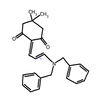 CC1(C)CC(=O)C(=C/C=C/N(Cc2ccccc2)Cc2ccccc2)C(=O)C1